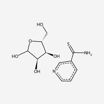 NC(=S)c1cccnc1.OC[C@H]1OC(O)[C@H](O)[C@@H]1O